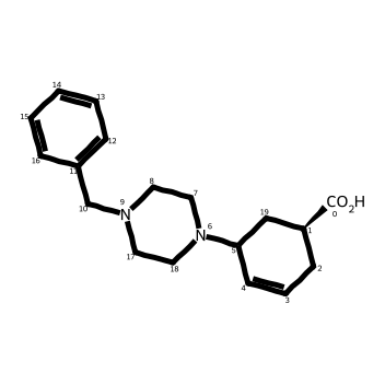 O=C(O)[C@H]1CC=CC(N2CCN(Cc3ccccc3)CC2)C1